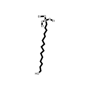 CCO[Si](CCCCCCCCCCCCCCCO)(OCC)OCC